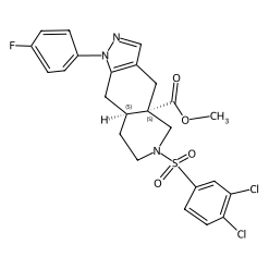 COC(=O)[C@@]12Cc3cnn(-c4ccc(F)cc4)c3C[C@@H]1CCN(S(=O)(=O)c1ccc(Cl)c(Cl)c1)C2